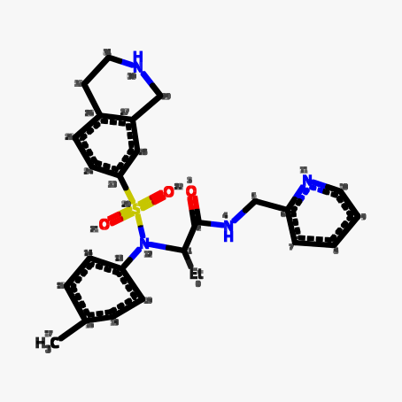 CCC(C(=O)NCc1ccccn1)N(c1ccc(C)cc1)S(=O)(=O)c1ccc2c(c1)CNCC2